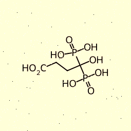 O=C(O)CCC(O)(P(=O)(O)O)P(=O)(O)O